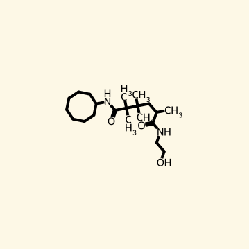 CC(CC(C)(C)C(C)(C)C(=O)NC1CCCCCCC1)C(=O)NCCO